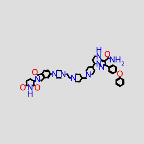 NC(=O)c1c(-c2ccc(Oc3ccccc3)cc2)nn2c1NCCC2C1CCN(CC2CCN(CCN3CCN(c4ccc5c(c4)CN(C4CCC(=O)NC4=O)C5=O)CC3)CC2)CC1